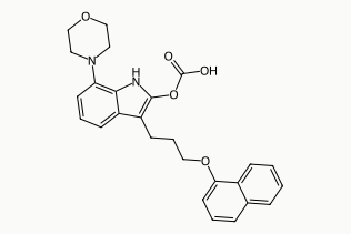 O=C(O)Oc1[nH]c2c(N3CCOCC3)cccc2c1CCCOc1cccc2ccccc12